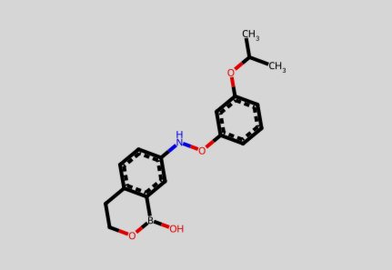 CC(C)Oc1cccc(ONc2ccc3c(c2)B(O)OCC3)c1